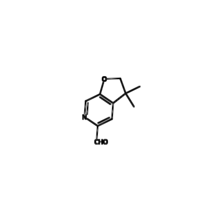 CC1(C)COc2cnc(C=O)cc21